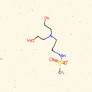 CS(=O)(=O)NCCN(CCO)CCO